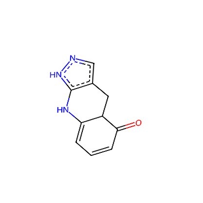 O=C1C=CC=C2Nc3[nH]ncc3CC12